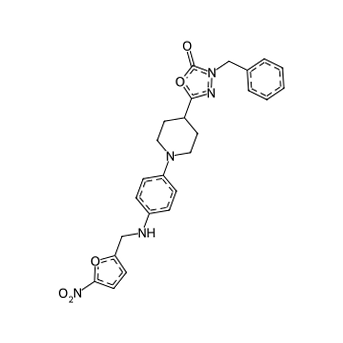 O=c1oc(C2CCN(c3ccc(NCc4ccc([N+](=O)[O-])o4)cc3)CC2)nn1Cc1ccccc1